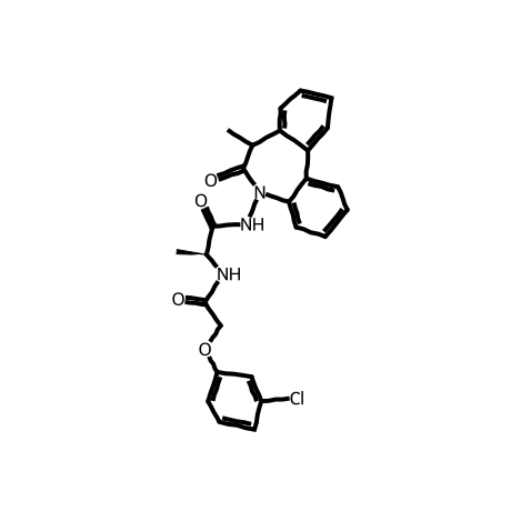 CC1C(=O)N(NC(=O)[C@H](C)NC(=O)COc2cccc(Cl)c2)c2ccccc2-c2ccccc21